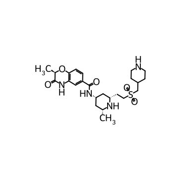 C[C@@H]1C[C@H](NC(=O)c2ccc3c(c2)NC(=O)[C@@H](C)O3)C[C@H](CCS(=O)(=O)CC2CCNCC2)N1